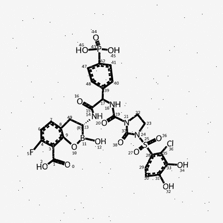 O=C(O)c1c(F)ccc2c1OB(O)[C@@H](NC(=O)C(NC(=O)N1CCN(S(=O)(=O)c3ccc(O)c(O)c3Cl)C1=O)c1ccc(P(=O)(O)O)cc1)C2